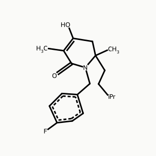 CC1=C(O)CC(C)(CCC(C)C)N(Cc2ccc(F)cc2)C1=O